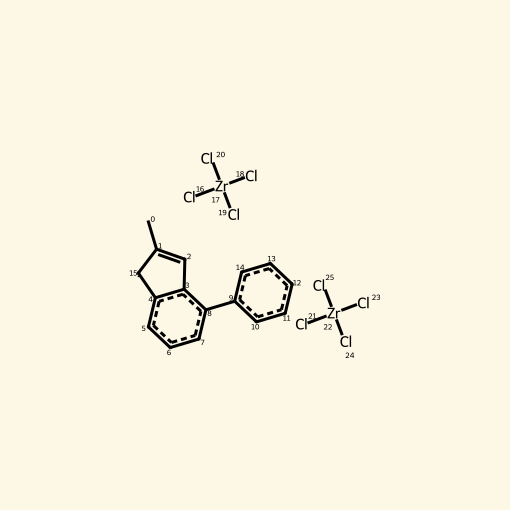 CC1=Cc2c(cccc2-c2ccccc2)[CH]1.[Cl][Zr]([Cl])([Cl])[Cl].[Cl][Zr]([Cl])([Cl])[Cl]